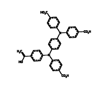 C=C(O)c1ccc(N(c2ccc(C(=O)O)cc2)c2ccc(N(c3ccc(C(=O)O)cc3)c3ccc(C(=O)O)cc3)cc2)cc1